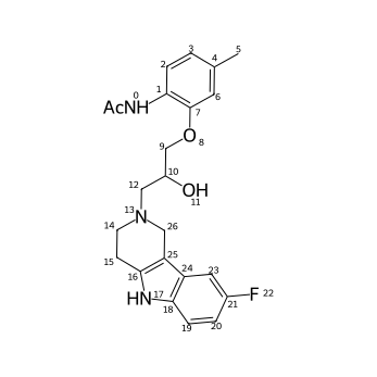 CC(=O)Nc1ccc(C)cc1OCC(O)CN1CCc2[nH]c3ccc(F)cc3c2C1